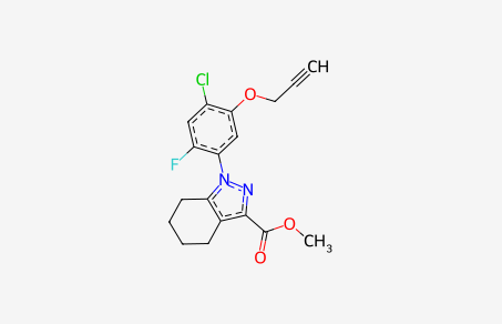 C#CCOc1cc(-n2nc(C(=O)OC)c3c2CCCC3)c(F)cc1Cl